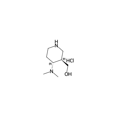 CN(C)[C@@H]1CCNC[C@H]1CO.Cl